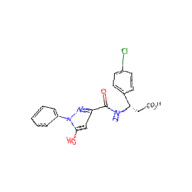 O=C(O)C[C@H](NC(=O)c1cc(O)n(-c2ccccc2)n1)c1ccc(Cl)cc1